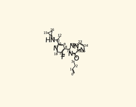 C=CCCOc1nc(-c2cc(C(C)NC3CC3)ncc2F)nn2ccnc12